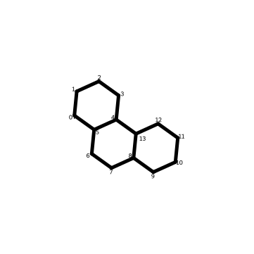 [CH]1CCCC2C1CCC1CCCCC12